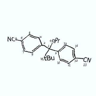 CCCC(c1ccc(C#N)cc1)(c1ccc(C#N)cc1)C(C)(C)C